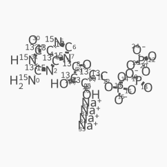 [15NH2][13c]1[15n][13c]2[13c]([15n][13cH][15n]2[13C@@H]2O[13C@H]([13CH2]OP(=O)([O-])OP(=O)([O-])OP(=O)([O-])[O-])[13C@@H](O)[13C@H]2O)[13c](=O)[15nH]1.[Na+].[Na+].[Na+].[Na+]